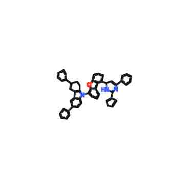 C1=CC(C2=NC(c3ccccc3)=CC(c3cccc4oc5c(-n6c7c(c8cc(-c9ccccc9)ccc86)C=C(c6ccccc6)CC7)cccc5c34)N2)=CC1